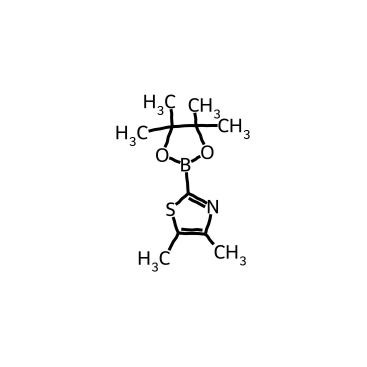 Cc1nc(B2OC(C)(C)C(C)(C)O2)sc1C